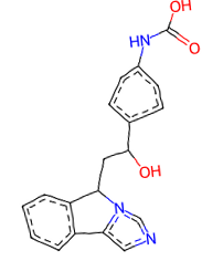 O=C(O)Nc1ccc(C(O)CC2c3ccccc3-c3cncn32)cc1